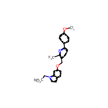 O=C(O)Cn1ccc2ccc(OCc3ccc(-c4ccc(OC(F)(F)F)cc4)nc3C(F)(F)F)cc21